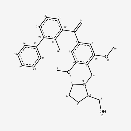 C=C(c1cc(OC)c(CN2CCCC2CO)c(OC)c1)c1cccc(-c2ccccc2)c1C